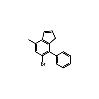 Cc1cc(Br)c(-c2ccccc2)c2c1C=CC2